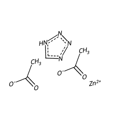 CC(=O)[O-].CC(=O)[O-].[Zn+2].c1nnn[nH]1